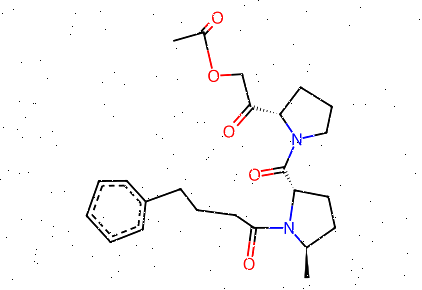 CC(=O)OCC(=O)[C@@H]1CCCN1C(=O)[C@@H]1CC[C@@H](C)N1C(=O)CCCc1ccccc1